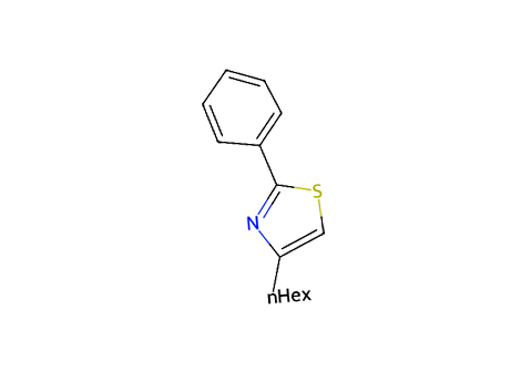 [CH2]CCCCCc1csc(-c2ccccc2)n1